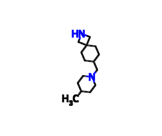 CC1CCN(CC2CCC3(CC2)CNC3)CC1